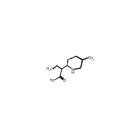 CCC(C(=O)O)C1CCC(C)CN1